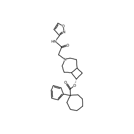 O=C(CN1CCC2C[C@H](OC(=O)C3(c4ccccc4)CCCCCC3)C2CC1)Nc1ccon1